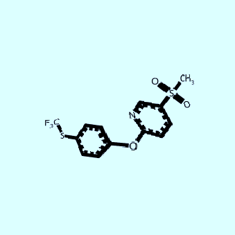 CS(=O)(=O)c1ccc(Oc2ccc(SC(F)(F)F)cc2)nc1